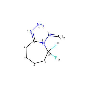 C=NN1/C(=N\N)CCCCC1(F)F